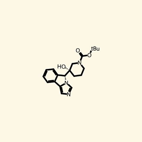 CC(C)(C)OC(=O)N1CCC[C@@](O)([C@H]2c3ccccc3-c3cncn32)C1